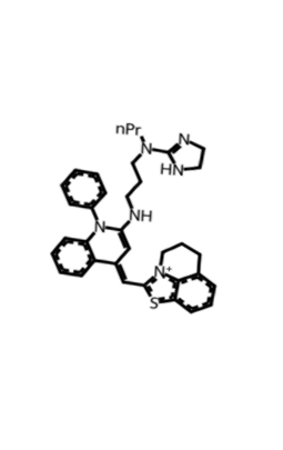 CCCN(CCCNC1=CC(=Cc2sc3cccc4c3[n+]2CCC4)c2ccccc2N1c1ccccc1)C1=NCCN1